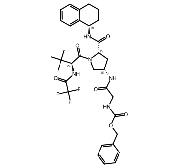 CC(C)(C)[C@H](NC(=O)C(F)(F)F)C(=O)N1C[C@@H](NC(=O)CNC(=O)OCc2ccccc2)C[C@H]1C(=O)N[C@@H]1CCCc2ccccc21